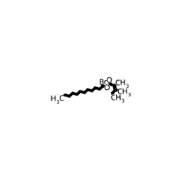 CCCCCCCCCCCC(Br)OC(=O)C(C)=C(C)CC